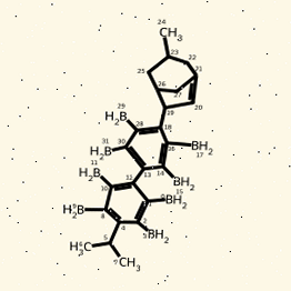 Bc1c(B)c(C(C)C)c(B)c(B)c1-c1c(B)c(B)c(C2C=C3CC(C)CC2C3)c(B)c1B